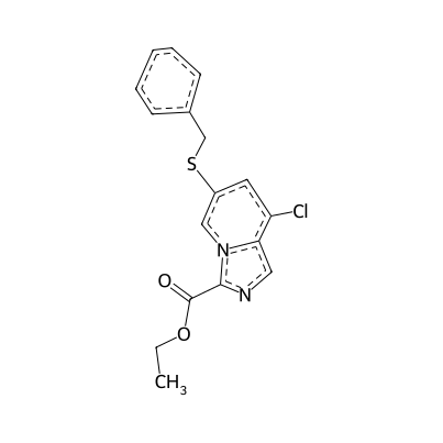 CCOC(=O)c1ncc2c(Cl)cc(SCc3ccccc3)cn12